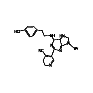 CC(C)N1CNC2C1=NC(C1=C(C#N)CCN=C1)=NC2NCCc1ccc(O)cc1